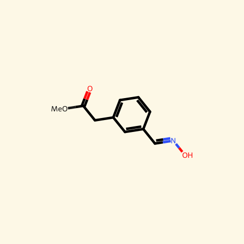 COC(=O)Cc1cccc(/C=N/O)c1